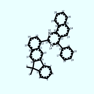 CC1(C)c2ccccc2-c2cc3c(-c4nc(-c5ccccc5)c5ccc6ccccc6c5n4)cccc3cc21